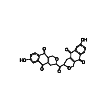 O=C1C2=C(CC(C(=O)C3CC4=C(CO3)C(=O)c3ccc(O)cc3C4=O)OC2)C(=O)c2cc(O)ccc21